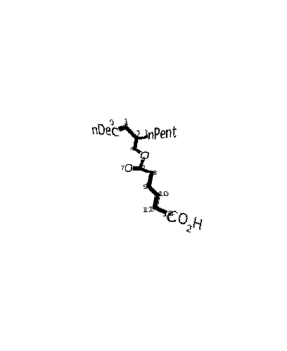 CCCCCCCCCCCC(CCCCC)COC(=O)CCCCC(=O)O